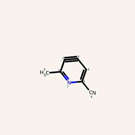 Cc1c#ccc(C#N)n1